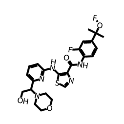 CC(C)(OF)c1ccc(NC(=O)c2ncsc2Nc2cccc(C(CO)N3CCOCC3)n2)c(F)c1